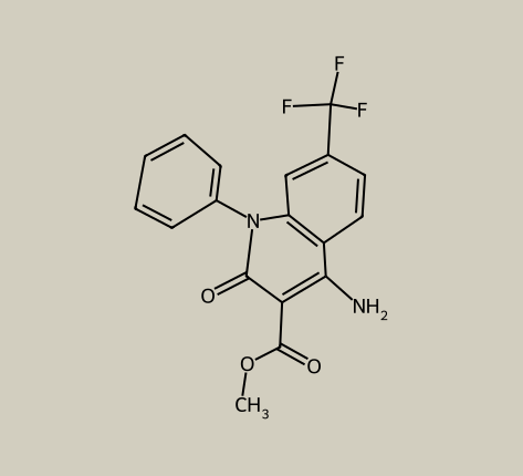 COC(=O)c1c(N)c2ccc(C(F)(F)F)cc2n(-c2ccccc2)c1=O